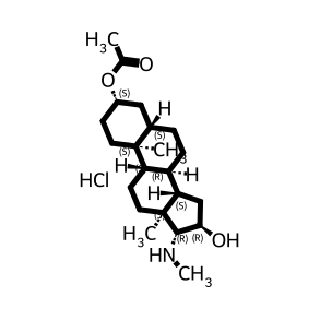 CN[C@H]1[C@H](O)C[C@H]2[C@@H]3CC[C@H]4C[C@@H](OC(C)=O)CC[C@]4(C)[C@H]3CC[C@@]21C.Cl